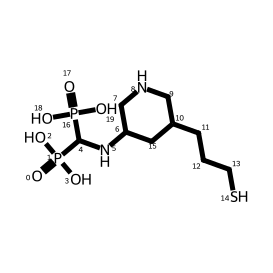 O=P(O)(O)C(NC1CNCC(CCCS)C1)P(=O)(O)O